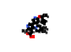 Cc1ncc(-c2ccc(OC(C)C3CCC3)nc2)c(N2CCC(C)(C)CC2)c1CC(=O)O